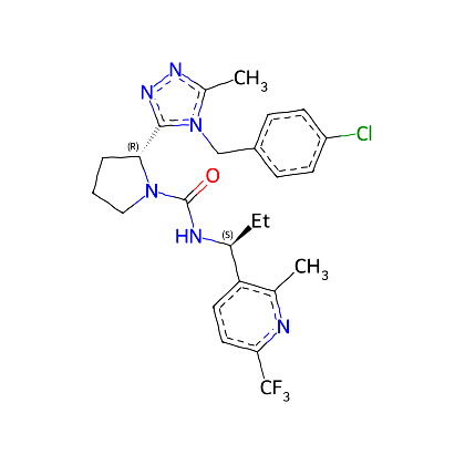 CC[C@H](NC(=O)N1CCC[C@@H]1c1nnc(C)n1Cc1ccc(Cl)cc1)c1ccc(C(F)(F)F)nc1C